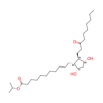 CCCCCCCC(=O)CC[C@@H]1[C@@H](CC=CCCCCCCCC(=O)OC(C)C)[C@@H](O)C[C@H]1O